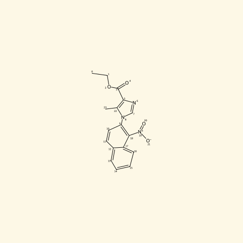 CCOC(=O)c1ncn(-c2ccc3ccccc3c2[N+](=O)[O-])c1C